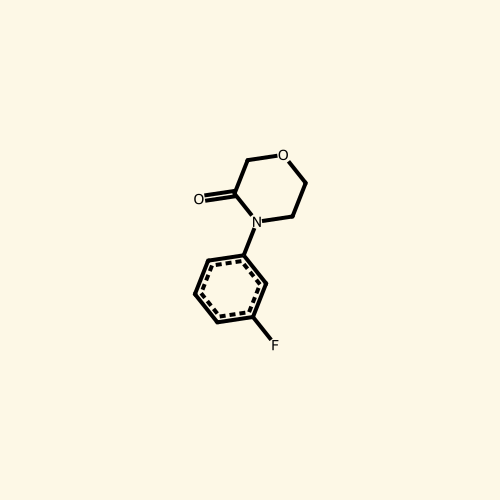 O=C1COCCN1c1cccc(F)c1